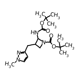 Cn1ccc(CC2CN(C(=O)OC(C)(C)C)C2NC(=O)OC(C)(C)C)n1